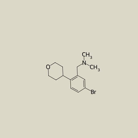 CN(C)Cc1cc(Br)ccc1C1CCOCC1